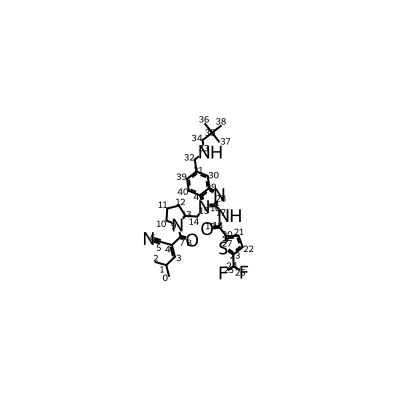 CC(C)C=C(C#N)C(=O)N1CCCC1Cn1c(NC(=O)c2ccc(C(F)F)s2)nc2cc(CNCC(C)(C)C)ccc21